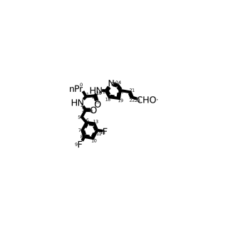 CCCC(NC(=O)Cc1cc(F)cc(F)c1)C(=O)Nc1ccc(C=C[C]=O)cn1